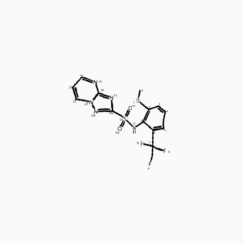 COc1cccc(C(F)(F)F)c1NS(=O)(=O)c1nc2ncccn2n1